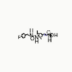 O=C(/C=C/c1cnc(NCC(=O)NCCc2ccc(F)cc2)c(I)c1)NO